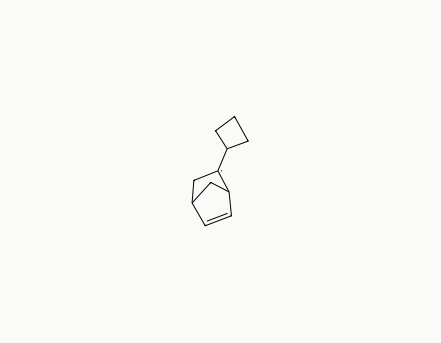 C1=CC2CC1C[C]2C1CCC1